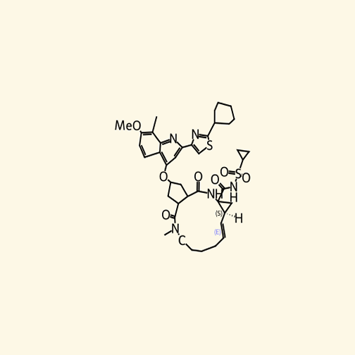 COc1ccc2c(OC3CC4C(=O)NC5(C(=O)NS(=O)(=O)C6CC6)C[C@H]5/C=C/CCCCN(C)C(=O)C4C3)cc(-c3csc(C4CCCCC4)n3)nc2c1C